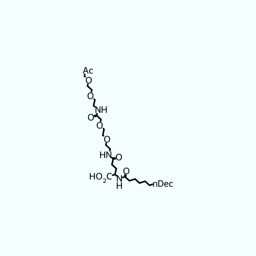 CCCCCCCCCCCCCCCC(=O)NC(CCC(=O)NCCOCCOCC(=O)NCCOCCOCC(C)=O)C(=O)O